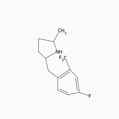 CC1CCC(Cc2ccc(F)cc2C(F)(F)F)N1